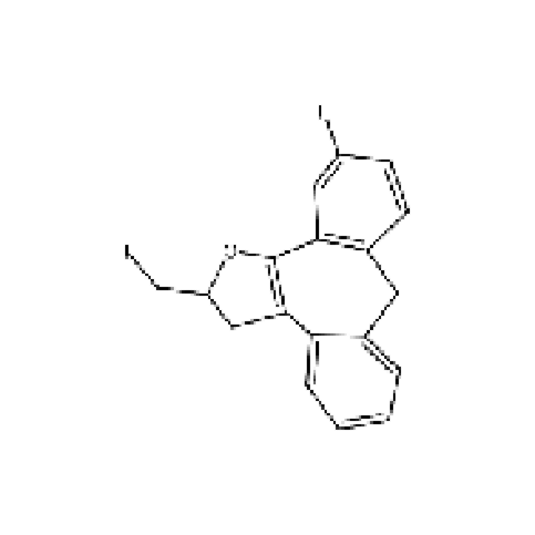 Fc1ccc2c(c1)C1=C(CC(CI)O1)c1ccccc1C2